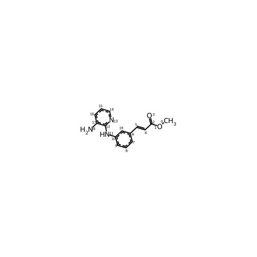 COC(=O)C=Cc1cccc(Nc2ncccc2N)c1